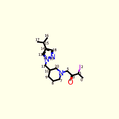 CC(I)C(=O)CN1CCCC(Cn2cc(C(C)C)cn2)C1